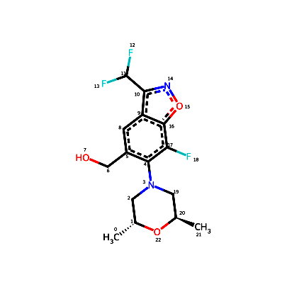 C[C@@H]1CN(c2c(CO)cc3c(C(F)F)noc3c2F)C[C@@H](C)O1